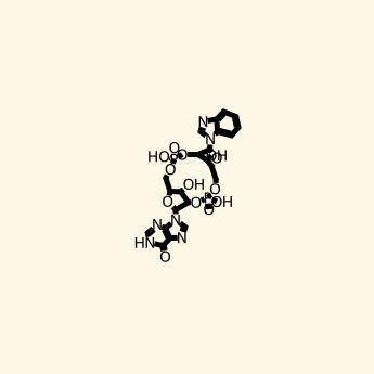 O=c1[nH]cnc2c1ncn2C1OC2COP(=O)(O)OC3C(O)C(COP(=O)(O)OC1C2O)OC3n1cnc2ccccc21